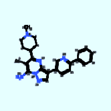 CC(=O)c1c(C2CCN(C)CC2)nc2c(-c3ccc(-c4ccccc4)nc3)cnn2c1N